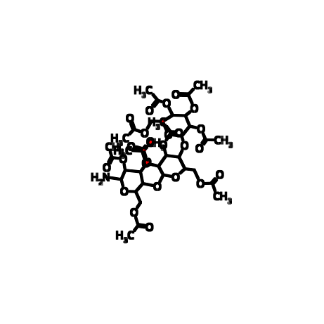 CC(=O)OCC1OC(N)C(OC(C)=O)C(OC(C)=O)C1OC1OC(COC(C)=O)C(OC2OC(COC(C)=O)C(OC(C)=O)C(OC(C)=O)C2OC(C)=O)C(OC(C)=O)C1OC(C)=O